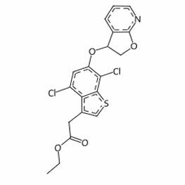 CCOC(=O)Cc1csc2c(Cl)c(OC3COc4ncccc43)cc(Cl)c12